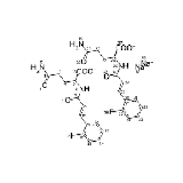 NC(=O)CC[C@H](NC(=O)/C=C/c1ccccc1F)C(=O)[O-].NC(=O)CC[C@H](NC(=O)/C=C/c1ccccc1F)C(=O)[O-].[Na+].[Na+]